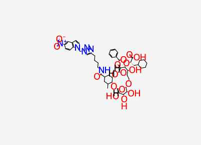 CC1CC(C(=O)NCCCCc2cn(Cn3ccc4cc([N+](=O)[O-])ccc43)nn2)C[C@H]2O[C@@H]3OC(COC4O[C@@H](OC12)C(O)C(O)[C@@H]4O)[C@H](O)C(O[C@@H](CC1CCCCC1)C(=O)O)C3OC(=O)c1ccccc1